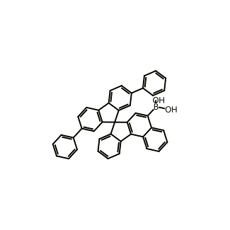 OB(O)c1cc2c(c3ccccc13)-c1ccccc1C21c2cc(-c3ccccc3)ccc2-c2ccc(-c3ccccc3)cc21